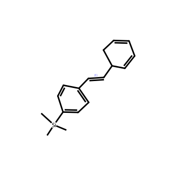 C[Si](C)(C)c1ccc(/C=C/C2C=CC=CC2)cc1